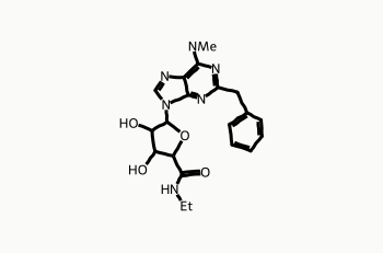 CCNC(=O)C1OC(n2cnc3c(NC)nc(Cc4ccccc4)nc32)C(O)C1O